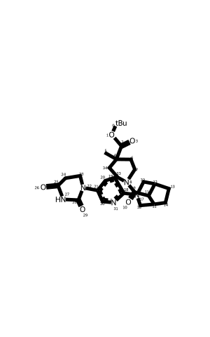 CC(C)(C)OC(=O)C1(C)CCN(C(=O)C2C3CCC2CN(c2ccc(N4CCC(=O)NC4=O)cn2)C3)CC1